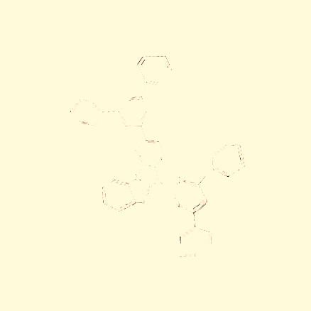 c1ccc(-c2cc(-c3ccccc3)cc(-c3ccc4c(c3)n3c5ccccc5nc3n4-c3nc(-c4ccccc4)cc(-c4ccccc4)n3)c2)cc1